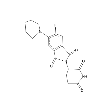 O=C1CCC(N2C(=O)c3cc(F)c(N4CCCCC4)cc3C2=O)C(=O)N1